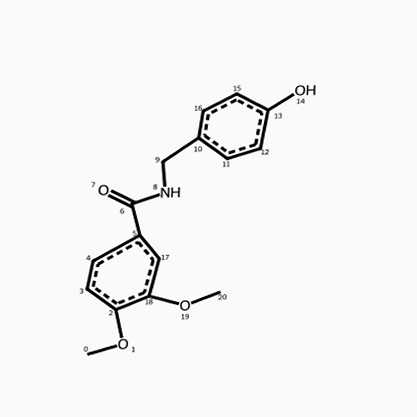 COc1ccc(C(=O)NCc2ccc(O)cc2)cc1OC